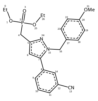 CCOP(=O)(Cc1cc(-c2cccc(C#N)c2)n(Cc2ccc(OC)cc2)n1)OCC